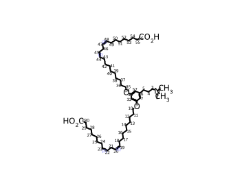 CN(C)CCCc1cc(OCCCCCCCCC/C=C\C/C=C\CCCCCCCC(=O)O)cc(OCCCCCCCCC/C=C\C/C=C\CCCCCCCC(=O)O)c1